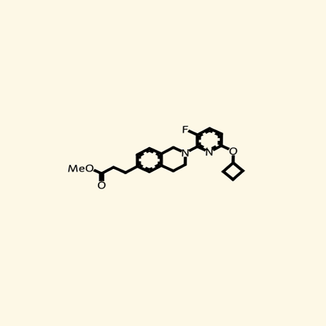 COC(=O)CCc1ccc2c(c1)CCN(c1nc(OC3CCC3)ccc1F)C2